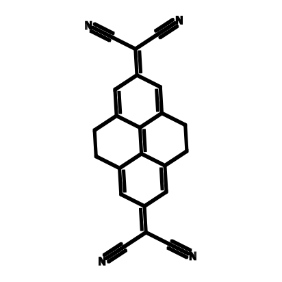 N#CC(C#N)=c1cc2c3c(c1)CCc1cc(=C(C#N)C#N)cc(c1=3)CC2